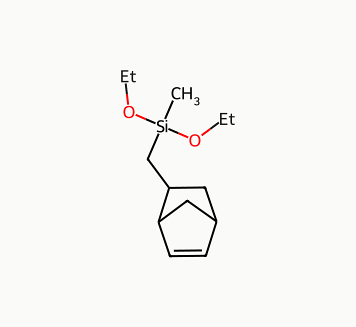 CCO[Si](C)(CC1CC2C=CC1C2)OCC